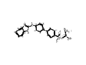 CC(C)[C@@H](NS(=O)(=O)c1ccc(-c2ccc(Oc3nc4ccccc4o3)cc2)cc1)C(=O)O